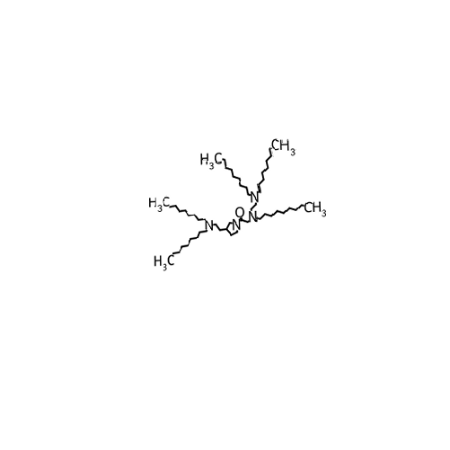 CCCCCCCCCN(CCCCCCCCC)CCC1CCN(C(=O)CN(CCCCCCCCC)CCN(CCCCCCCCC)CCCCCCCCC)C1